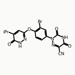 CC(C)c1cc(Oc2ccc(-n3nc(C#N)c(=O)[nH]c3=O)cc2Br)n[nH]c1=O